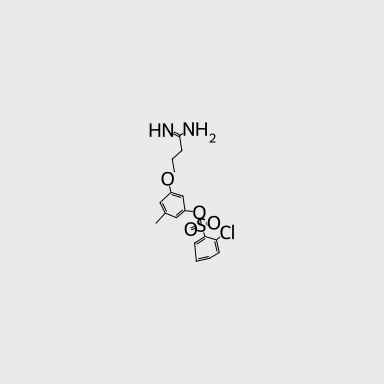 Cc1cc(OCCCC(=N)N)cc(OS(=O)(=O)c2ccccc2Cl)c1